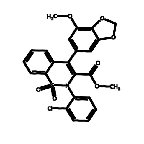 COC(=O)C1=C(c2cc(OC)c3c(c2)OCO3)c2ccccc2S(=O)(=O)N1c1ccccc1Cl